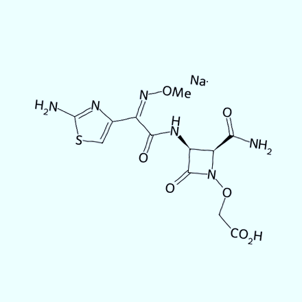 CON=C(C(=O)N[C@@H]1C(=O)N(OCC(=O)O)[C@@H]1C(N)=O)c1csc(N)n1.[Na]